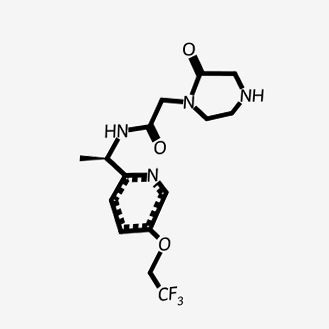 C[C@@H](NC(=O)CN1CCNCC1=O)c1ccc(OCC(F)(F)F)cn1